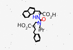 CC(C)CN(C[C@H](CCc1ccccc1)C(=O)O)C(=O)N[C@@H](Cc1ccc2ccccc2c1)C(=O)O